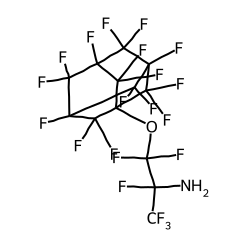 NC(F)(C(F)(F)F)C(F)(F)OC12C(F)(F)C3(F)C(F)(F)C(F)(C(F)(F)C(F)(C3(F)F)C1(F)F)C2(F)F